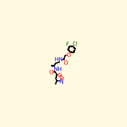 C=C(CCNC(=O)COc1ccc(Cl)c(F)c1)NC(=O)C1CC(C)N(C)OO1